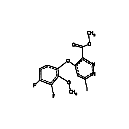 COC(=O)c1nnc(I)cc1Oc1ccc(F)c(F)c1OC